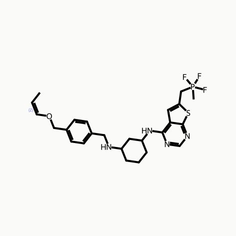 C/C=C\OCc1ccc(CNC2CCCC(Nc3ncnc4sc(CP(C)(F)(F)F)cc34)C2)cc1